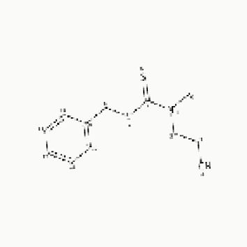 CN(CCC#N)C(=S)SCc1ccccc1